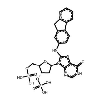 O=c1[nH]cnc2c1nc(Nc1ccc3c(c1)Cc1ccccc1-3)n2[C@H]1C[C@H](OP(=O)(O)O)[C@@H](COP(=O)(O)O)O1